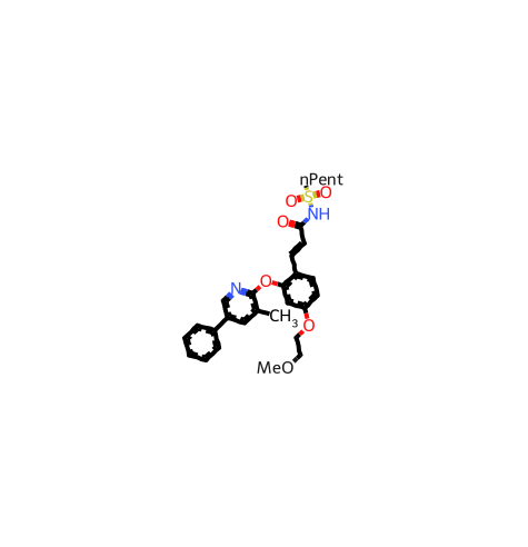 CCCCCS(=O)(=O)NC(=O)/C=C/c1ccc(OCCOC)cc1Oc1ncc(-c2ccccc2)cc1C